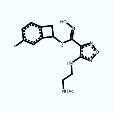 CC(=O)NCCNc1nonc1/C(=N/O)NC1Cc2ccc(F)cc21